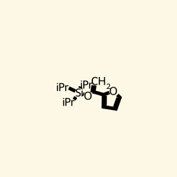 C=C(O[Si](C(C)C)(C(C)C)C(C)C)c1ccco1